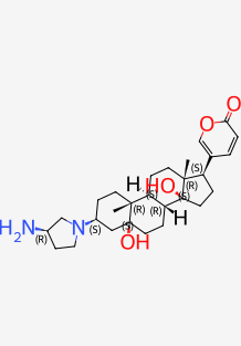 C[C@]12CC[C@H](N3CC[C@@H](N)C3)C[C@@]1(O)CC[C@@H]1[C@@H]2CC[C@]2(C)[C@@H](c3ccc(=O)oc3)CC[C@]12O